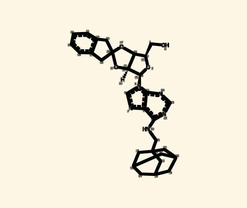 OC[C@H]1O[C@@H](n2cnc3c(NCC45CC6CC(CC(C6)C4)C5)ncnc32)[C@H]2OC3(Cc4ccccc4C3)OC12